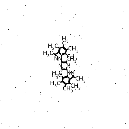 Cc1nc(-n2nc(C)c3c(C)c(C)c(C)c(C)c32)c(C)nc1-n1nc(C)c2c(C)c(C)c(C)c(C)c21